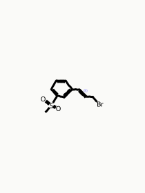 CS(=O)(=O)c1cccc(/C=C/CBr)c1